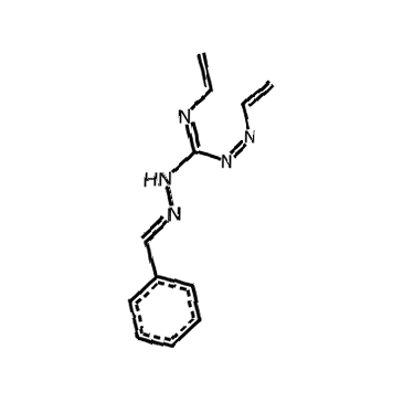 C=C/N=N\C(=N/C=C)N/N=C/c1ccccc1